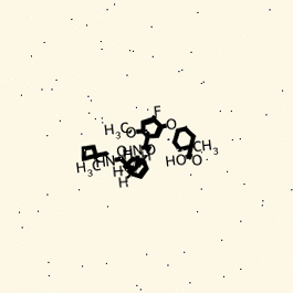 COc1cc(F)c(O[C@H]2CC[C@@](C)(C(=O)O)CC2)cc1C(=O)N[C@@H]1[C@H](C(=O)NCC2(C)CCC2)[C@@H]2C=C[C@H]1CC2